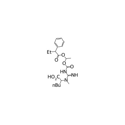 CCCCC(C(=O)O)N(C)C(=N)NC(=O)OC(C)OC(=O)C(CC)c1ccccc1